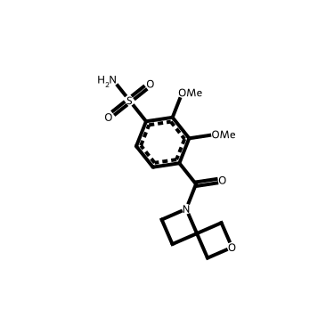 COc1c(C(=O)N2CCC23COC3)ccc(S(N)(=O)=O)c1OC